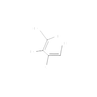 C/[C]=C(/C)C(C)=C(C)C